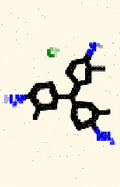 CC1=CC(=C(c2ccc(N)c(C)c2)c2ccc(N)c(C)c2)C=CC1=[N+].[Cl-]